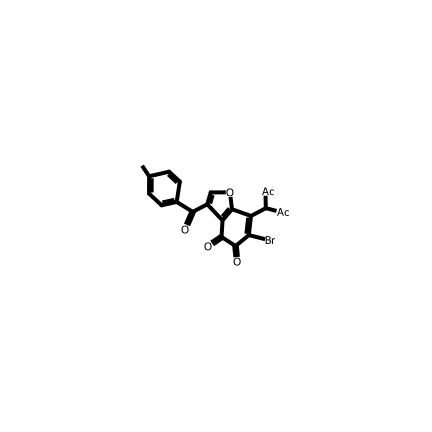 CC(=O)C(C(C)=O)C1=C(Br)C(=O)C(=O)c2c(C(=O)c3ccc(C)cc3)coc21